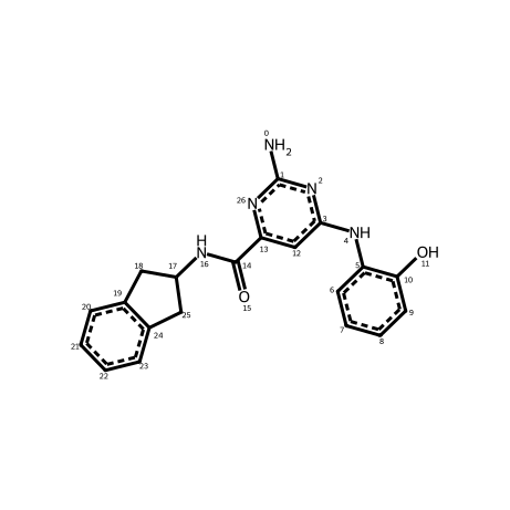 Nc1nc(Nc2ccccc2O)cc(C(=O)NC2Cc3ccccc3C2)n1